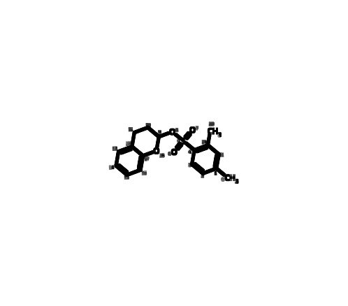 Cc1ccc(S(=O)(=O)OC2CCc3ccccc3O2)c(C)c1